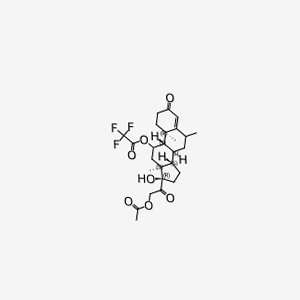 CC(=O)OCC(=O)[C@@]1(O)CC[C@H]2[C@@H]3CC(C)C4=CC(=O)CC[C@]4(C)[C@H]3C(OC(=O)C(F)(F)F)C[C@@]21C